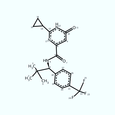 CC(C)(C)[C@@H](NC(=O)c1cc(=O)[nH]c(C2CC2)n1)c1ccc(C(F)(F)F)cc1